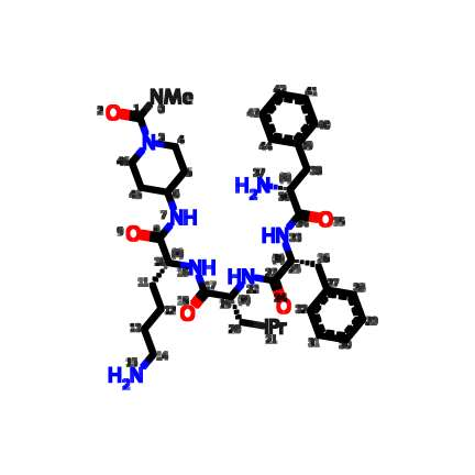 CNC(=O)N1CCC(NC(=O)[C@@H](CCCCN)NC(=O)[C@@H](CC(C)C)NC(=O)[C@@H](Cc2ccccc2)NC(=O)[C@H](N)Cc2ccccc2)CC1